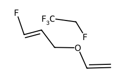 C=COCC=CF.FCC(F)(F)F